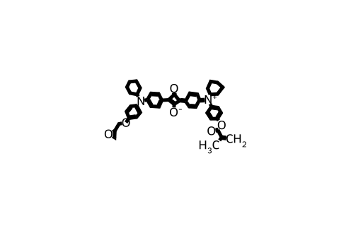 C=C(C)C(=O)Oc1ccc([N+](=C2C=CC(=C3C(=O)C(c4ccc(N(c5ccc(OCC6CO6)cc5)C5CCCCC5)cc4)=C3[O-])C=C2)C2CCCCC2)cc1